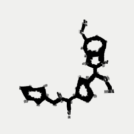 CCOc1ccc2[nH]c(C(OCC)c3ccc(C(=O)NCc4ccccc4)cc3)nc2c1